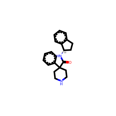 O=C(N[C@H]1CCc2ccccc21)C1(c2ccccc2)CCNCC1